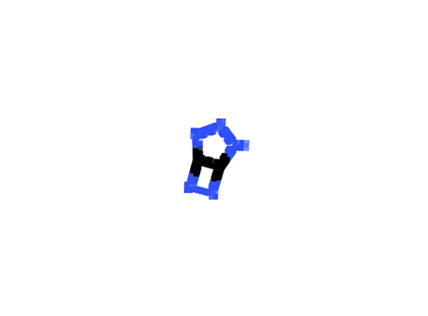 N1=c2nn[nH]c2=N1